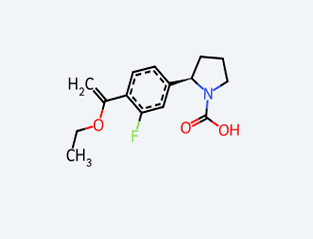 C=C(OCC)c1ccc([C@H]2CCCN2C(=O)O)cc1F